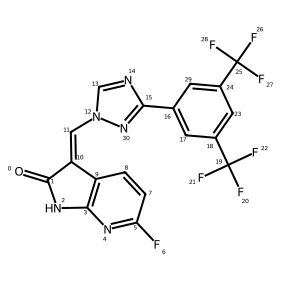 O=C1Nc2nc(F)ccc2/C1=C\n1cnc(-c2cc(C(F)(F)F)cc(C(F)(F)F)c2)n1